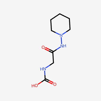 O=C(O)NCC(=O)NN1CCCCC1